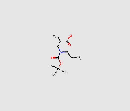 CCCN(C[C@@H](C)C(=O)O)C(=O)OC(C)(C)C